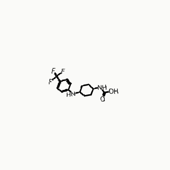 O=C(O)NC1CCC(Nc2ccc(C(F)(F)F)cc2)CC1